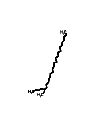 CCCCCCCCCCCCCCCCCCCCCCC(CC)CCCN